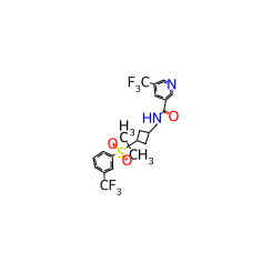 CC(C)(C1CC(CNC(=O)c2cncc(C(F)(F)F)c2)C1)S(=O)(=O)c1cccc(C(F)(F)F)c1